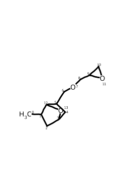 CC1CC2CC(COCC3CO3)C1O2